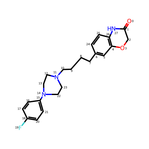 O=C1COc2cc(CCCCN3CCN(c4ccc(F)cc4)CC3)ccc2N1